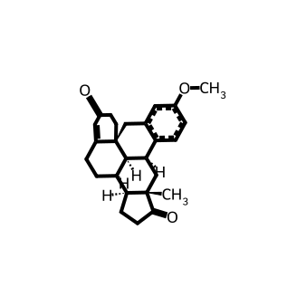 COc1ccc2c(c1)C[C@]13CCC(=O)C=C1CC[C@@H]1[C@@H]3[C@@H]2C[C@]2(C)C(=O)CC[C@@H]12